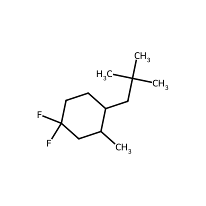 CC1CC(F)(F)CCC1CC(C)(C)C